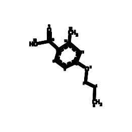 CCCOc1ccc(C(=O)O)c(C)c1